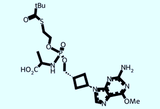 COc1nc(N)nc2c1ncn2[C@H]1C[C@@H](COP(=O)(NC(C)C(=O)O)OCCSC(=O)C(C)(C)C)C1